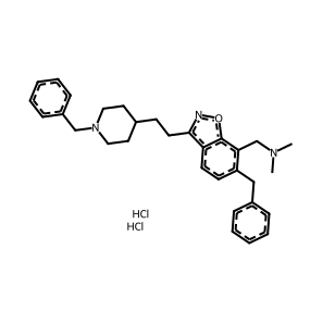 CN(C)Cc1c(Cc2ccccc2)ccc2c(CCC3CCN(Cc4ccccc4)CC3)noc12.Cl.Cl